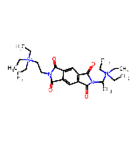 CC[N+](CC)(CC)CCn1c(=O)c2cc3c(=O)n(C(C)[N+](CC)(CC)CC)c(=O)c3cc2c1=O